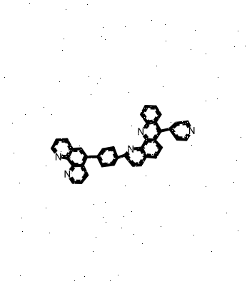 c1cnc2c(c1)cc(-c1ccc(-c3ccc4ccc5c(-c6ccncc6)c6ccccc6nc5c4n3)cc1)c1cccnc12